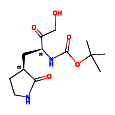 CC(C)(C)OC(=O)N[C@@H](C[C@@H]1CCNC1=O)C(=O)CO